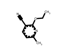 CCOc1nc(C)ccc1C#N